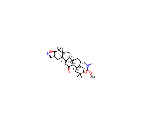 CN(C[C@]12CCC(C)(C)C[C@H]1[C@H]1C(=O)C=C3[C@@]4(C)Cc5cnoc5C(C)(C)[C@@H]4CC[C@@]3(C)[C@]1(C)CC2)C(=O)OC(C)(C)C